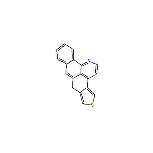 c1ccc2c(c1)cc1c3c(ccnc32)-c2cscc2C1